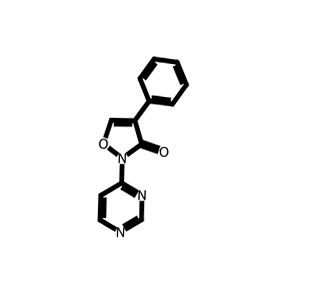 O=c1c(-c2ccccc2)con1-c1ccncn1